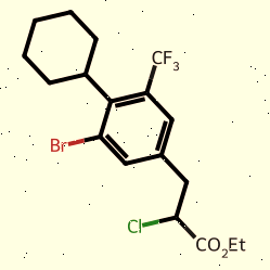 CCOC(=O)C(Cl)Cc1cc(Br)c(C2CCCCC2)c(C(F)(F)F)c1